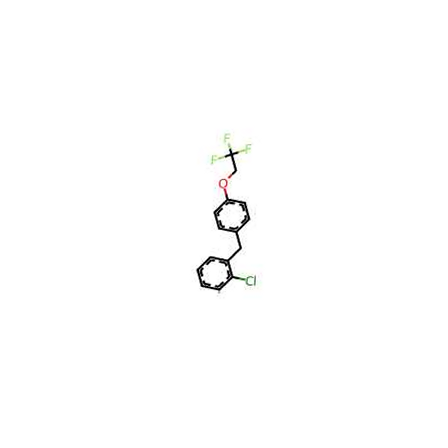 FC(F)(F)COc1ccc(Cc2ccc[c]c2Cl)cc1